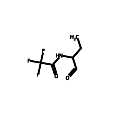 CCC(C=O)NC(=O)C(F)(F)F